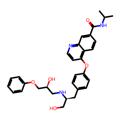 CC(C)NC(=O)c1ccc2c(Oc3ccc(C[C@@H](CO)NC[C@H](O)COc4ccccc4)cc3)ccnc2c1